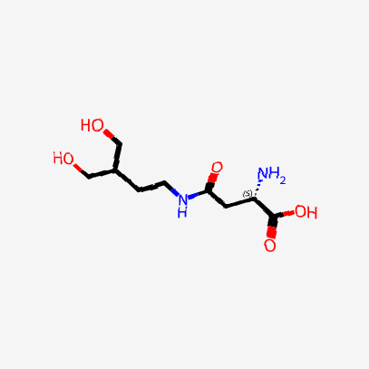 N[C@@H](CC(=O)NCCC(CO)CO)C(=O)O